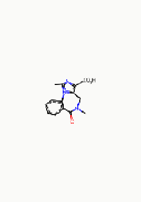 Cc1nc(C(=O)O)c2n1-c1ccccc1C(=O)N(C)C2